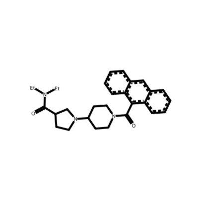 CCN(CC)C(=O)C1CCN(C2CCN(C(=O)c3c4ccccc4cc4ccccc34)CC2)C1